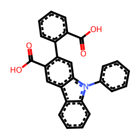 O=C(O)c1ccccc1-c1cc2c(cc1C(=O)O)c1ccccc1n2-c1ccccc1